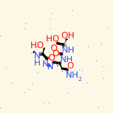 CN[C@@H](CO)c1nnc([C@H](CC(N)=O)NC(=O)N[C@@H](CO)C(=O)O)o1